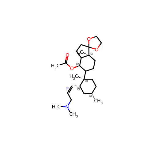 CC(=O)O[C@H]1C2CCC3(OCCO3)[C@@]2(C)CCC1[C@@]1(C)CC[C@H](C)C[C@@H]1/C=C\CN(C)C